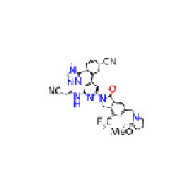 COC[C@H]1CCCN1Cc1cc2c(c(C(F)(F)F)c1)CN(c1cc(-c3cc(C#N)ccc3-c3nncn3C)cc(NCCC#N)n1)C2=O